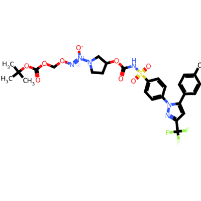 Cc1ccc(-c2cc(C(F)(F)F)nn2-c2ccc(S(=O)(=O)NC(=O)OC3CCN(/[N+]([O-])=N/OCOC(=O)OC(C)(C)C)C3)cc2)cc1